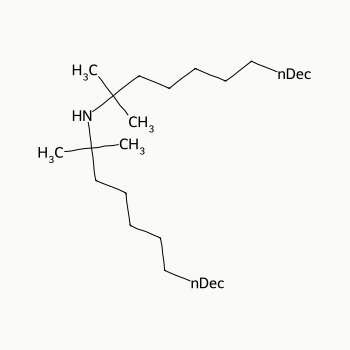 CCCCCCCCCCCCCCCC(C)(C)NC(C)(C)CCCCCCCCCCCCCCC